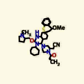 C=CC(=O)N1CCN(C2C3CC[C@@]4(CC(OC)c5ccccc5S4)CC3NC(OCC3CCCN3C)N2C2CCCCCC2)CC1CC#N